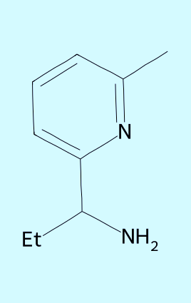 CCC(N)c1cccc(C)n1